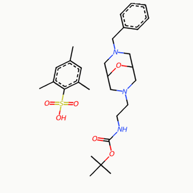 CC(C)(C)OC(=O)NCCN1CC2CN(Cc3ccccc3)CC(C1)O2.Cc1cc(C)c(S(=O)(=O)O)c(C)c1